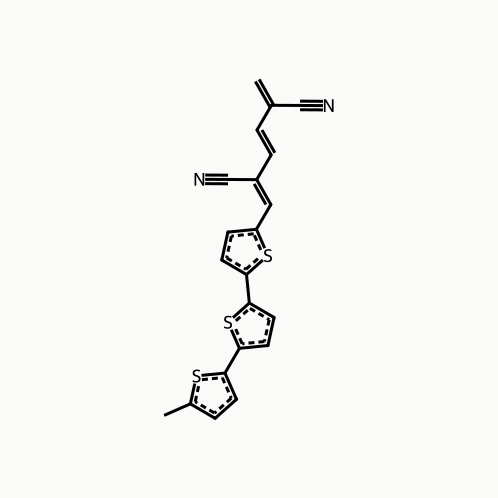 C=C(C#N)/C=C/C(C#N)=C/c1ccc(-c2ccc(-c3ccc(C)s3)s2)s1